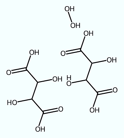 O=C(O)C(O)C(O)C(=O)O.O=C(O)C(O)C(O)C(=O)O.OO